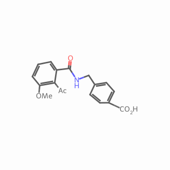 COc1cccc(C(=O)NCc2ccc(C(=O)O)cc2)c1C(C)=O